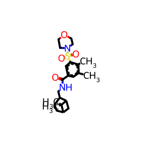 Cc1cc(C(=O)NCC2CCC3CC2C3(C)C)cc(S(=O)(=O)N2CCOCC2)c1C